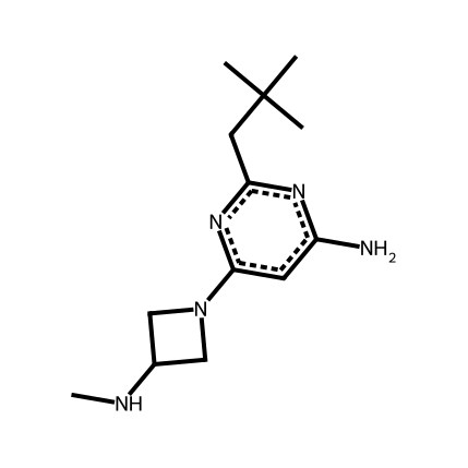 CNC1CN(c2cc(N)nc(CC(C)(C)C)n2)C1